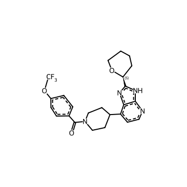 O=C(c1ccc(OC(F)(F)F)cc1)N1CCC(c2ccnc3[nH]c([C@@H]4CCCCO4)nc23)CC1